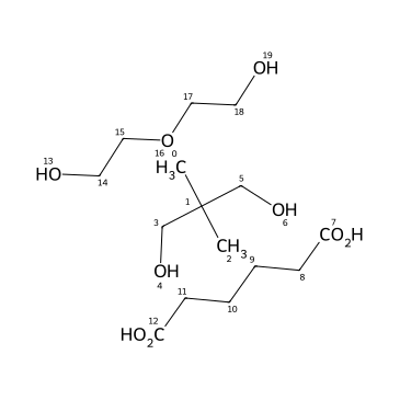 CC(C)(CO)CO.O=C(O)CCCCC(=O)O.OCCOCCO